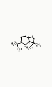 CC(O)C1CCC2CCC(C)(C)C2C1